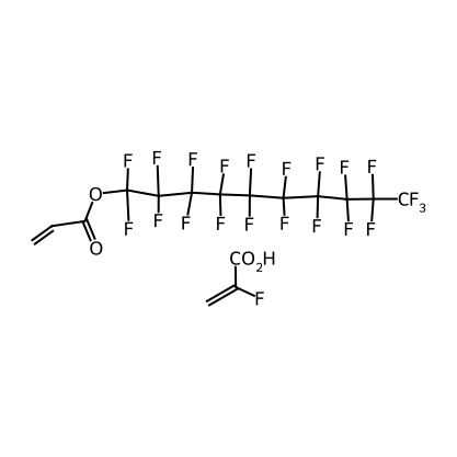 C=C(F)C(=O)O.C=CC(=O)OC(F)(F)C(F)(F)C(F)(F)C(F)(F)C(F)(F)C(F)(F)C(F)(F)C(F)(F)C(F)(F)C(F)(F)F